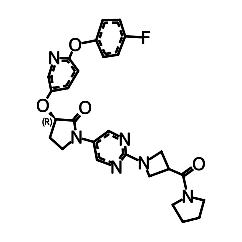 O=C(C1CN(c2ncc(N3CC[C@@H](Oc4ccc(Oc5ccc(F)cc5)nc4)C3=O)cn2)C1)N1CCCC1